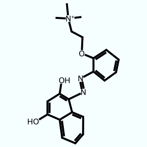 C[N+](C)(C)CCOc1ccccc1/N=N/c1c(O)cc(O)c2ccccc12